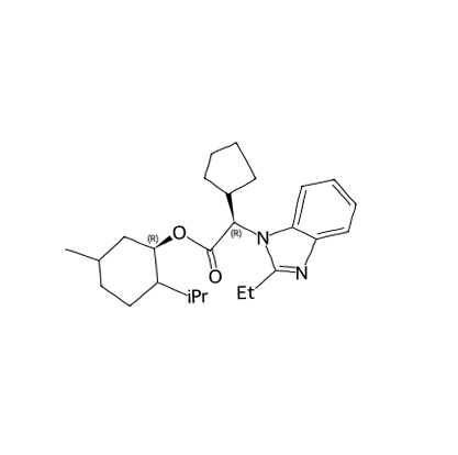 CCc1nc2ccccc2n1[C@@H](C(=O)O[C@@H]1CC(C)CCC1C(C)C)C1CCCC1